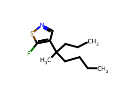 CCCCC(C)(CCC)c1cnsc1F